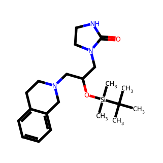 CC(C)(C)[Si](C)(C)OC(CN1CCc2ccccc2C1)CN1CCNC1=O